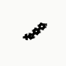 CC(C)(C)c1cnn(-c2ccc(N3CCNCC3)cc2)c1